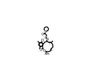 CCCC1C/C=C/CC/C(C)=C/C(=N/OCC(=O)N2CCCCC2)Cc2c(Cl)c(C)cc(C)c2C(=O)O1